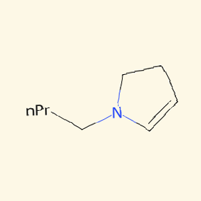 CCCCN1C=CCC1